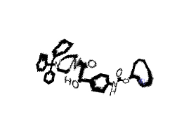 O=C(Nc1ccc(C(O)C(=O)N2CCN(C(c3ccccc3)(c3ccccc3)c3ccccc3)CC2)cc1)OC1/C=C/CCCCC1